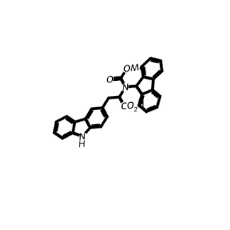 COC(=O)N(C(Cc1ccc2[nH]c3ccccc3c2c1)C(=O)O)C1c2ccccc2-c2ccccc21